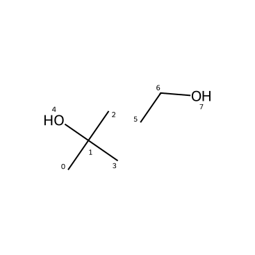 CC(C)(C)O.CCO